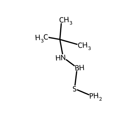 CC(C)(C)NBSP